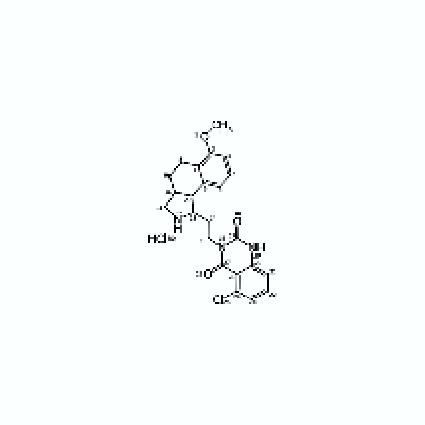 COc1cccc2c1CCC1CNC(CCn3c(=O)[nH]c4cccc(Cl)c4c3=O)C21.Cl